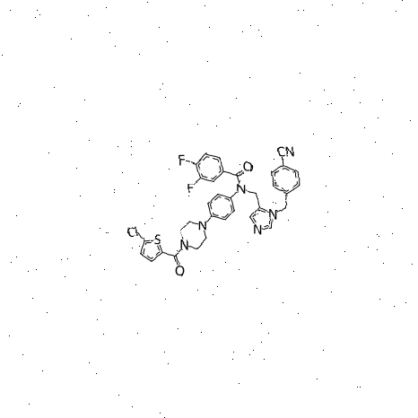 N#Cc1ccc(Cn2cncc2CN(C(=O)c2ccc(F)c(F)c2)c2ccc(N3CCN(C(=O)c4ccc(Cl)s4)CC3)cc2)cc1